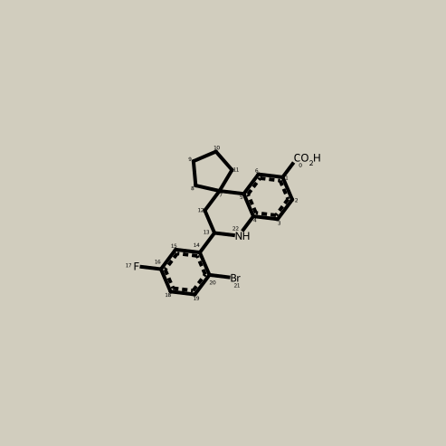 O=C(O)c1ccc2c(c1)C1(CCCC1)CC(c1cc(F)ccc1Br)N2